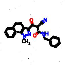 Cn1nc(C(=O)C(C#N)C(=O)NCc2ccccc2)c2ccc3ccccc3c21